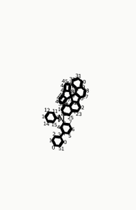 c1ccc(-c2cccc(N(c3ccccc3)c3ccc4c5c(ccc4c3)-c3ccc4ccccc4c3C53c4ccccc4-c4ccccc43)c2)cc1